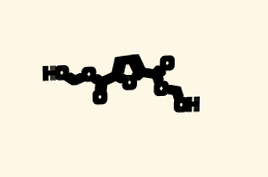 O=C(OCO)c1ccc(C(=O)OCO)o1